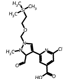 CN1C(C=O)C(c2cc(C(=O)O)cc(Cl)n2)=CN1COCC[Si](C)(C)C